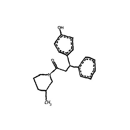 CC1CCCN(C(=O)CC(c2ccccc2)c2ccc(O)cc2)C1